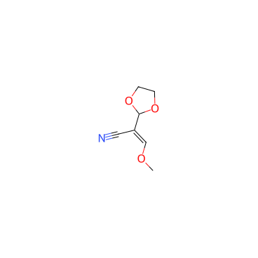 COC=C(C#N)C1OCCO1